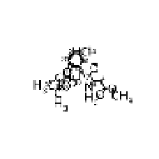 COC(=O)C[C@H](N)C(=O)N(CC(=O)OC(C)(C)C)c1ccccc1.Cl